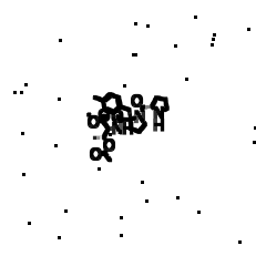 COC(=O)[C@@H](NC(=O)[C@@]1(Cc2ccc(C)cc2)CCCN1C(=O)[C@@H]1CCCN1)[C@@H](C)OC(C)=O